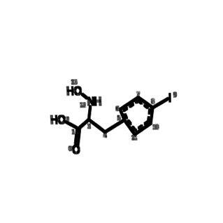 O=C(O)C(Cc1ccc(I)cc1)NO